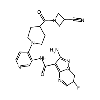 N#CC1CN(C(=O)C2CCN(c3ccncc3NC(=O)c3c(N)nn4c3N=CC(F)C4)CC2)C1